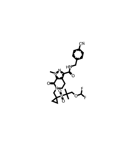 Cn1nc(C(=O)NCc2ccc(C#N)cc2)c2c1C(=O)N(CC1(S(=O)(=O)C(C)(C)COC(F)F)CC1)CC2